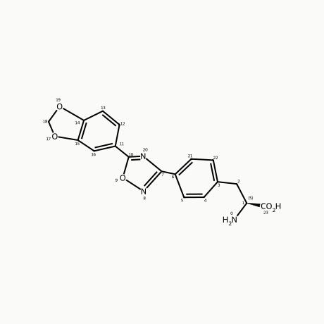 N[C@@H](Cc1ccc(-c2noc(-c3ccc4c(c3)OCO4)n2)cc1)C(=O)O